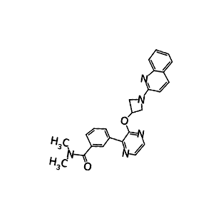 CN(C)C(=O)c1cccc(-c2nccnc2OC2CN(c3ccc4ccccc4n3)C2)c1